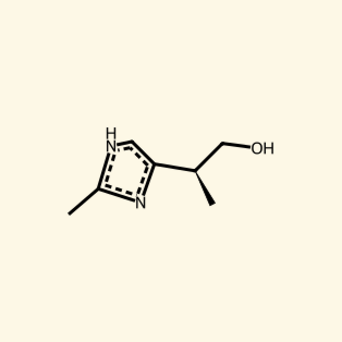 Cc1nc([C@H](C)CO)c[nH]1